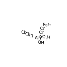 O=S(=O)(O)O.[Al+3].[Cl-].[Cl-].[Cl-].[Cl-].[Cl-].[Fe+2]